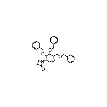 O=C1CCN1[C@@H]1COC(COCc2ccccc2)C(OCc2ccccc2)C1OCc1ccccc1